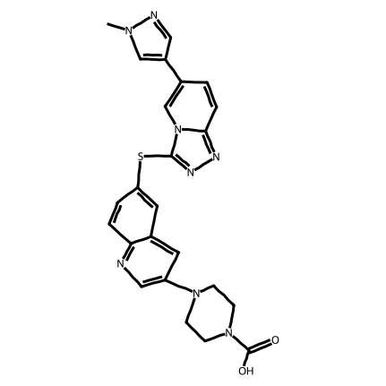 Cn1cc(-c2ccc3nnc(Sc4ccc5ncc(N6CCN(C(=O)O)CC6)cc5c4)n3c2)cn1